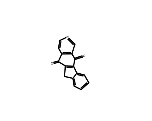 O=C1C2=C(C(=O)c3cnccc31)c1ccccc1C2